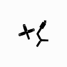 CN(C)CC#N.[CH3][Re](=[O])(=[O])=[O]